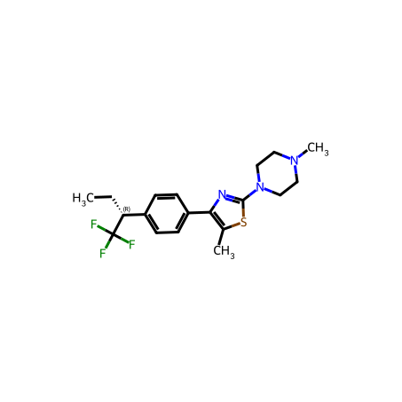 CC[C@H](c1ccc(-c2nc(N3CCN(C)CC3)sc2C)cc1)C(F)(F)F